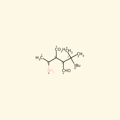 BC(C)C(C(=O)O)C(C=O)C(C)(C)C(C)(C)C